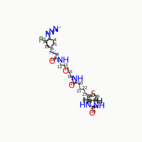 [N-]=[N+]=Nc1ccc(/C=C/C(=O)NCCOCCNC(=O)CCCC[C@@H]2SC[C@@H]3NC(=O)N[C@@H]32)cc1F